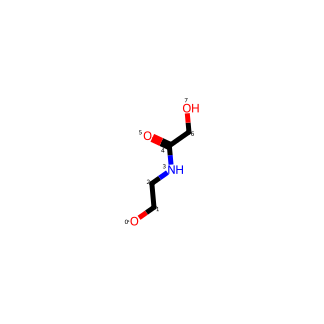 [O]CCNC(=O)CO